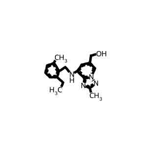 CCc1cccc(C)c1CNc1cc(CO)cn2nc(C)nc12